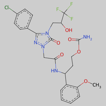 COc1ccccc1C(CCOC(N)=O)NC(=O)Cn1nc(-c2ccc(Cl)cc2)n(CC(O)C(F)(F)F)c1=O